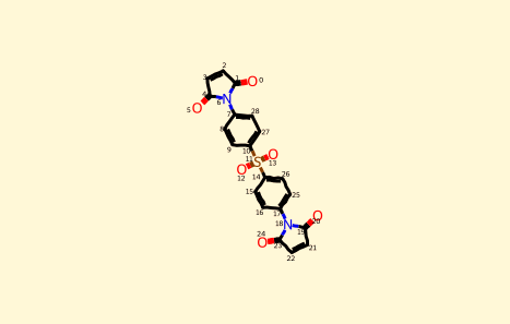 O=C1C=CC(=O)N1c1ccc(S(=O)(=O)c2ccc(N3C(=O)C=CC3=O)cc2)cc1